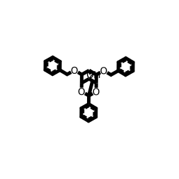 OC1C2OC3(c4ccccc4)OC1C(OCc1ccccc1)C(O3)C2OCc1ccccc1